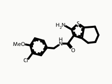 COc1ccc(CNC(=O)c2c(N)sc3c2CCCC3)cc1Cl